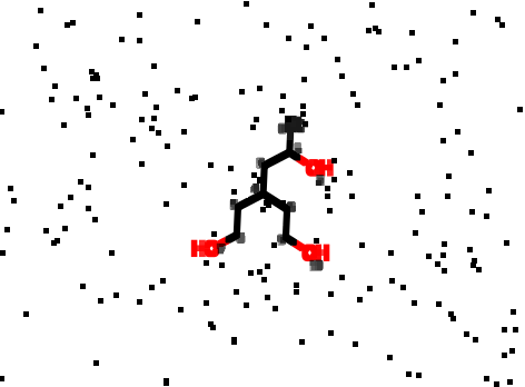 C[CH]C(O)CC(CCO)CCO